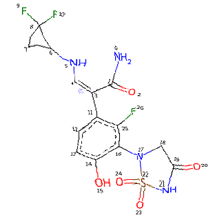 NC(=O)/C(=C\NC1CC1(F)F)c1ccc(O)c(N2CC(=O)NS2(=O)=O)c1F